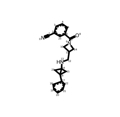 N#Cc1cccc(C(=O)N2CC(CNC34CC3(c3ccccc3)C4)C2)c1